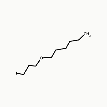 CCCCCCOCCCI